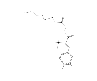 CC(C)(C)c1cc2c(cc1Cl)C=C(C(=O)OOC(=O)OCCCCO[N+](=O)[O-])C(C)(C(F)(F)F)O2